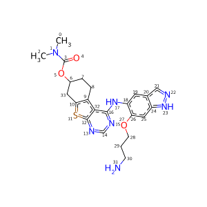 CN(C)C(=O)OC1CCc2c(sc3ncnc(Nc4cc5cn[nH]c5cc4OCCCN)c23)C1